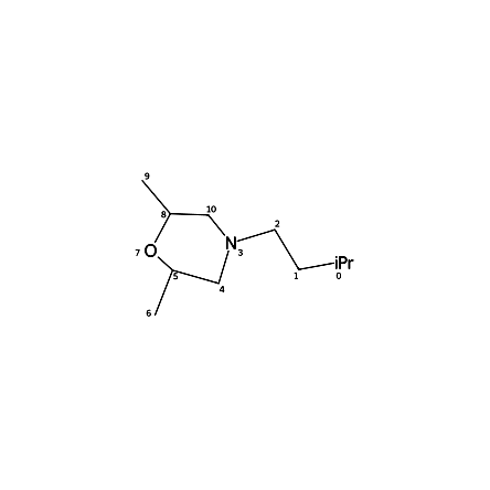 CC(C)CCN1CC(C)OC(C)C1